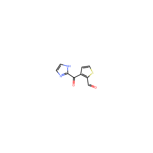 O=Cc1sccc1C(=O)c1ncc[nH]1